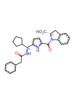 O=C(Cc1ccccc1)N[C@H](c1ccc(C(=O)N2c3ccccc3C[C@H]2C(=O)O)[nH]1)C1CCCC1